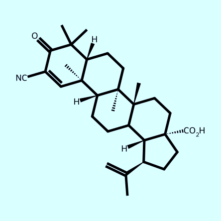 C=C(C)[C@@H]1CC[C@]2(C(=O)O)CC[C@]3(C)C(CC[C@@H]4[C@@]5(C)C=C(C#N)C(=O)C(C)(C)[C@@H]5CC[C@]43C)[C@@H]12